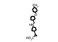 Cc1ccc(Oc2cccc(CNc3ccc(C4CC4C(=O)O)cc3)c2)cc1